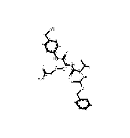 CC(C)[C@H](NC(=O)OCc1ccccc1)C(=O)N[C@H](CSCC(N)=O)C(=O)Nc1ccc(CO)cc1